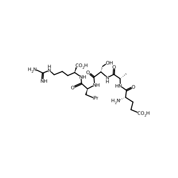 CC(C)C[C@H](NC(=O)[C@H](CO)NC(=O)[C@H](C)NC(=O)[C@@H](N)CCC(=O)O)C(=O)N[C@@H](CCCNC(=N)N)C(=O)O